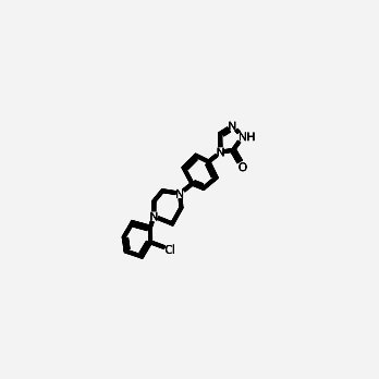 O=c1[nH]ncn1-c1ccc(N2CCN(c3ccccc3Cl)CC2)cc1